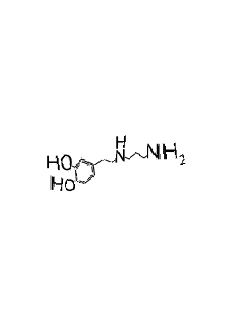 NCCCNCCc1ccc(O)c(O)c1